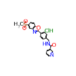 CS(=O)(=O)c1ccc2oc(-c3ccc(CNC(=O)c4cccnc4)cc3)nc2c1.Cl